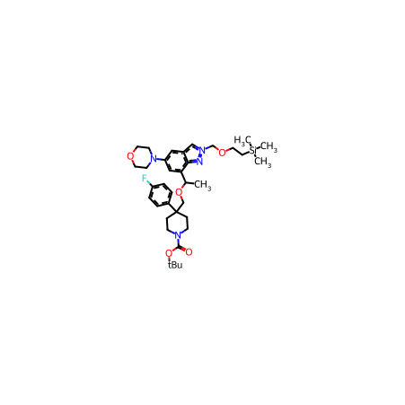 CC(OCC1(c2ccc(F)cc2)CCN(C(=O)OC(C)(C)C)CC1)c1cc(N2CCOCC2)cc2cn(COCC[Si](C)(C)C)nc12